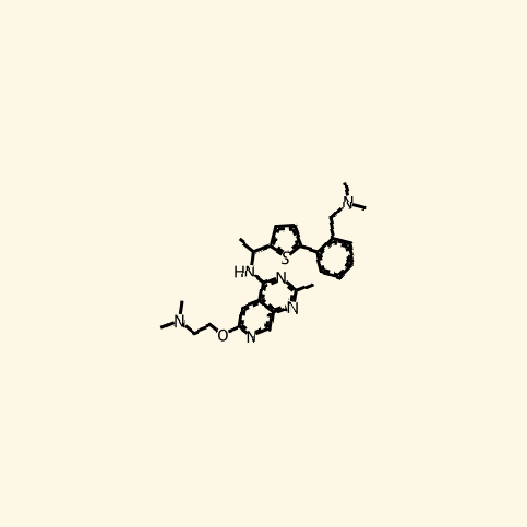 Cc1nc(NC(C)c2ccc(-c3ccccc3CN(C)C)s2)c2cc(OCCN(C)C)ncc2n1